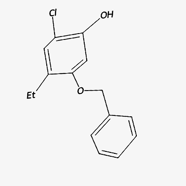 CCc1cc(Cl)c(O)cc1OCc1ccccc1